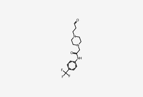 O=CCCN1CCN(CC(=O)Nc2ccc(C(F)(F)F)cc2)CC1